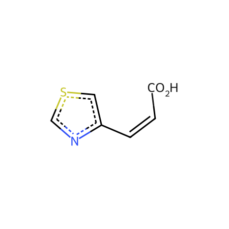 O=C(O)/C=C\c1cscn1